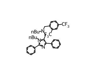 CCCCN(Cc1ccc(C(F)(F)F)cc1C(F)(F)F)Cc1c(-c2ccccc2)nc(-c2ccccc2)n1CCCC